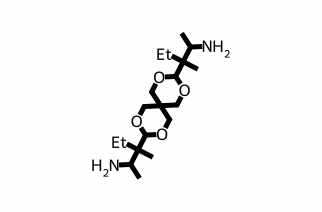 CCC(C)(C(C)N)C1OCC2(CO1)COC(C(C)(CC)C(C)N)OC2